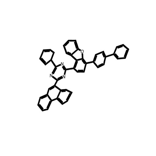 C1=CCC(c2nc(-c3cc4ccccc4c4ccccc34)nc(-c3ccc(-c4ccc(-c5ccccc5)cc4)c4oc5ccccc5c34)n2)C=C1